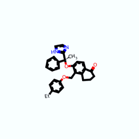 CCc1ccc(OCc2c(O[C@@](C)(c3ccccc3)c3ncc[nH]3)ccc3c2CCCC3=O)cc1